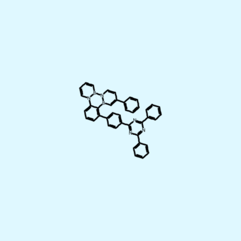 C1=CB2N3C=CC(c4ccccc4)=CB3c3c(-c4ccc(-c5nc(-c6ccccc6)nc(-c6ccccc6)n5)cc4)cccc3N2C=C1